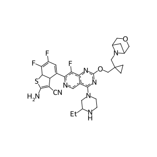 CCC1CN(c2nc(OCC3(CN4C5COCC4C5)CC3)nc3c(F)c(C4=CC(F)=C(F)C5SC(N)=C(C#N)C45)ncc23)CCN1